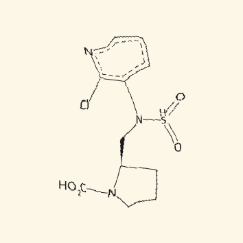 O=C(O)N1CCC[C@@H]1CN(c1cccnc1Cl)[SH](=O)=O